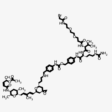 CC(=O)O[C@@H](C)/C=C\C(=O)N[C@@H]1C[C@H](C)[C@H](C/C=C(C)/C=C/[C@@H]2C[C@]3(CO3)C[C@@H](CCCNCc3ccc(NC(=O)OCc4ccc(NC(=O)[C@@H](CCCNC(N)=O)NC(=O)[C@H](NC(=O)CCOCCOCCNC(=O)CBr)C(C)C)cc4)cc3)O2)O[C@@H]1C